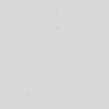 COC(=O)[C@@H]1CCCN1Cc1cc2nc(-c3cccc(-c4cccc(-c5nc6cc(CN7CCCC7)cc(C#N)c6[nH]5)c4C)c3C)oc2cc1OC(F)F